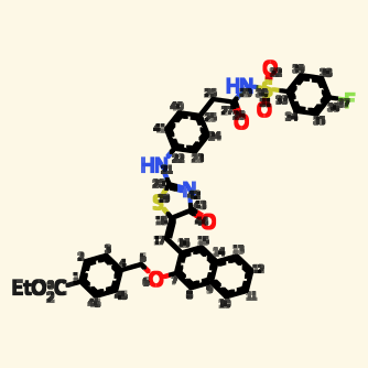 CCOC(=O)c1ccc(COc2cc3ccccc3cc2C=C2SC(Nc3ccc(CC(=O)NS(=O)(=O)c4ccc(F)cc4)cc3)=NC2=O)cc1